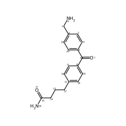 NCc1ccc(C(=O)c2ccc(CCCC(N)=O)cc2)cc1